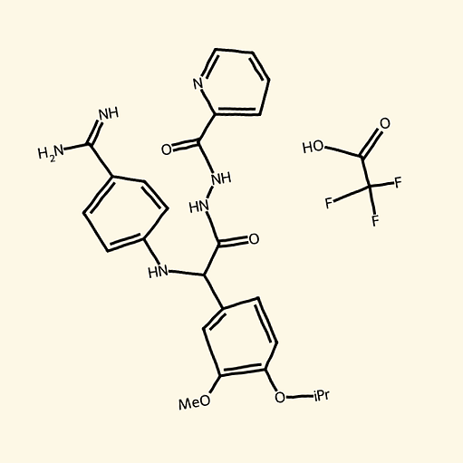 COc1cc(C(Nc2ccc(C(=N)N)cc2)C(=O)NNC(=O)c2ccccn2)ccc1OC(C)C.O=C(O)C(F)(F)F